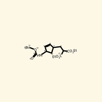 CCOC(=O)C(CC1C=CC(NC(=O)OC(C)(C)C)C1)C(=O)OCC